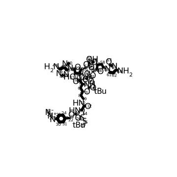 CC(C)(C)OC(=O)NC(CCCCNC(=O)[C@H](CSSC(C)(C)C)NC(=O)OCc1ccc(N=[N+]=[N-])cc1)C(=O)O[C@H]1[C@@H](O)[C@H](n2cnc3c(N)ncnc32)O[C@H]1COP(=O)(O)O[C@H]1C[C@H](n2ccc(N)nc2=O)O[C@@H]1COP(=O)(O)O